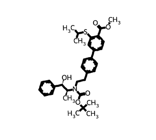 COC(=O)c1ccc(-c2ccc(CCN(C(=O)OC(C)(C)C)[C@@H](C)[C@@H](O)c3ccccc3)cc2)cc1SC(C)C